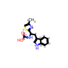 Cc1csc(C(Cc2c[nH]c3ccccc23)NC(=O)O)n1